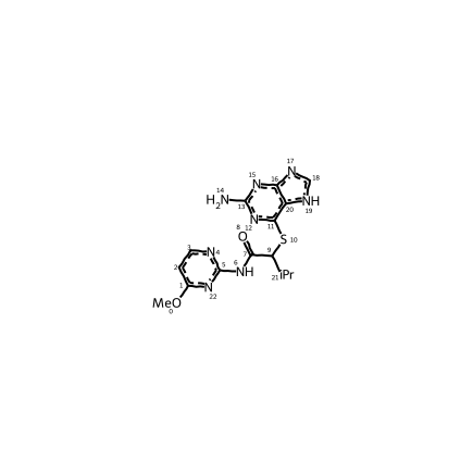 COc1ccnc(NC(=O)C(Sc2nc(N)nc3nc[nH]c23)C(C)C)n1